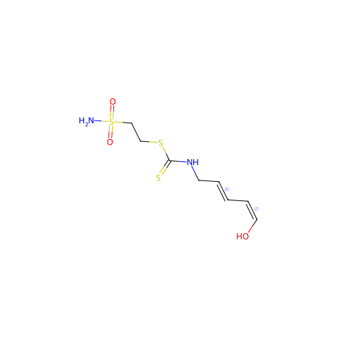 NS(=O)(=O)CCSC(=S)NC/C=C/C=C\O